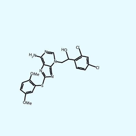 COc1ccc(OC)c(Sc2nc3c(N)ncn(CC(O)c4ccc(Cl)cc4Cl)c-3n2)c1